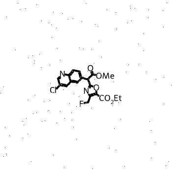 CCOC(=O)c1oc(C(C(=O)OC)c2ccc3ncc(Cl)cc3c2)nc1CF